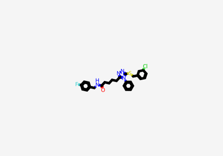 O=C(CCCCc1nnc(SCC2=CC=CC(Cl)C2)n1-c1ccccc1)NCc1ccc(F)cc1